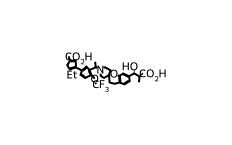 CCC1=C(c2ccc(OC(F)(F)F)c(C(C)N3CCC4(CCc5ccc([C@H](O)[C@H](C)C(=O)O)cc5O4)CC3)c2)C=C(C(=O)O)C1